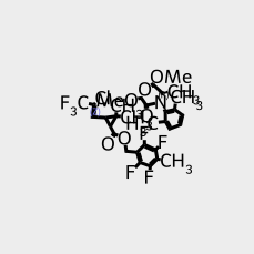 COCC(=O)N(c1c(C)cccc1C)[C@H](C)C(=O)OC.Cc1c(F)c(F)c(COC(=O)C2C(/C=C(\Cl)C(F)(F)F)C2(C)C)c(F)c1F